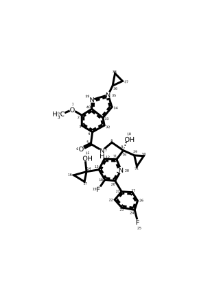 COc1cc(C(=O)NC[C@](O)(c2cc(C3(O)CC3)c(F)c(-c3ccc(F)cc3)n2)C2CC2)cc2cn(C3CC3)nc12